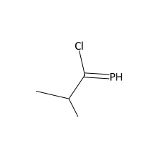 CC(C)C(=P)Cl